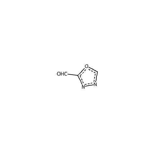 O=[C]c1nnco1